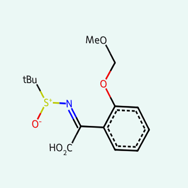 COCOc1ccccc1C(=N[S+]([O-])C(C)(C)C)C(=O)O